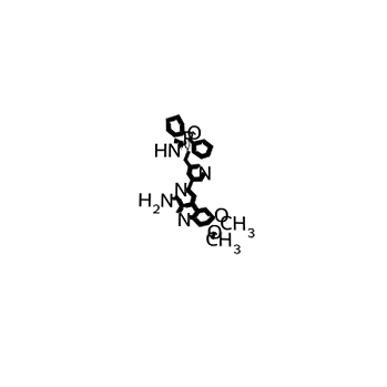 COc1cc2ncc3c(N)nc(-c4cncc(CC[C@@]5(P(=O)(c6ccccc6)c6ccccc6)CN5)c4)cc3c2cc1OC